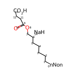 CCCCCCCCCCCCCCCCOC(=O)CCC(=O)O.[NaH]